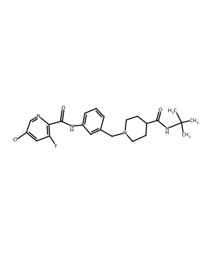 CC(C)(C)NC(=O)C1CCN(Cc2cccc(NC(=O)c3ncc(Cl)cc3F)c2)CC1